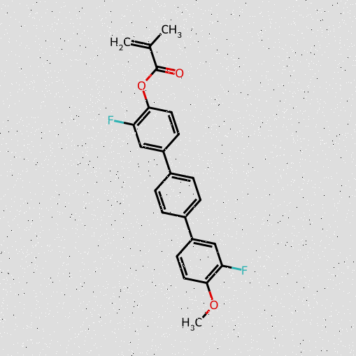 C=C(C)C(=O)Oc1ccc(-c2ccc(-c3ccc(OC)c(F)c3)cc2)cc1F